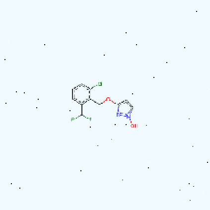 On1ccc(OCc2c(Cl)cccc2C(F)F)n1